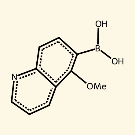 COc1c(B(O)O)ccc2ncccc12